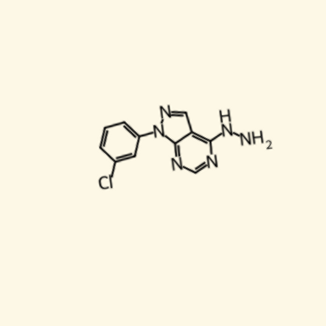 NNc1ncnc2c1cnn2-c1cccc(Cl)c1